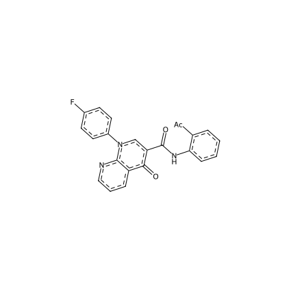 CC(=O)c1ccccc1NC(=O)c1cn(-c2ccc(F)cc2)c2ncccc2c1=O